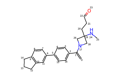 C=C(c1ccc(-c2ccc3c(c2)CCC3)cc1)N1CC(CCC=O)(NC)C1